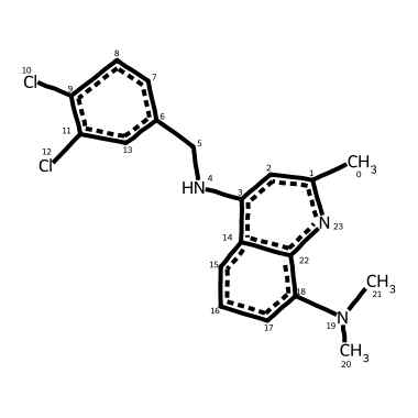 Cc1cc(NCc2ccc(Cl)c(Cl)c2)c2cccc(N(C)C)c2n1